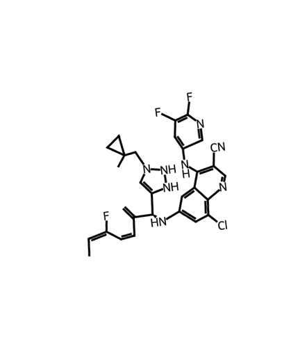 C=C(/C=C\C(F)=C/C)[C@H](Nc1cc(Cl)c2ncc(C#N)c(Nc3cnc(F)c(F)c3)c2c1)C1=CN(CC2(C)CC2)NN1